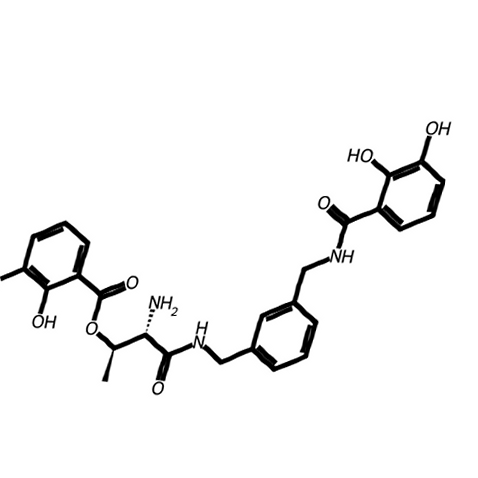 C[C@@H](OC(=O)c1cccc(O)c1O)[C@H](N)C(=O)NCc1cccc(CNC(=O)c2cccc(O)c2O)c1